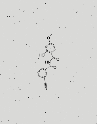 COc1ccc(C(=O)NC(=O)c2cccc(C#N)c2)c(O)c1